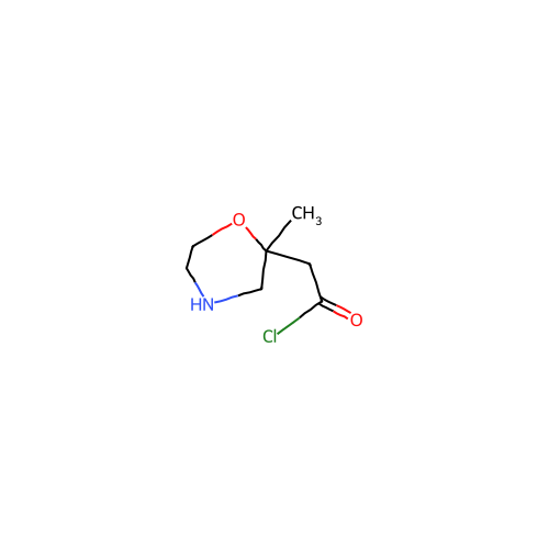 CC1(CC(=O)Cl)CNCCO1